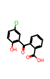 O=C(O)c1ccccc1C(=O)c1cc(Cl)ccc1O